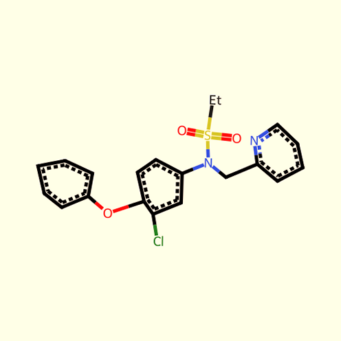 CCS(=O)(=O)N(Cc1ccccn1)c1ccc(Oc2ccccc2)c(Cl)c1